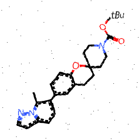 Cc1c(-c2ccc3c(c2)CCC2(CCN(C(=O)OC(C)(C)C)CC2)O3)ccc2ccnn12